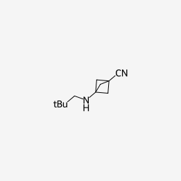 CC(C)(C)CNC12CC(C#N)(C1)C2